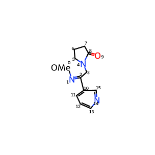 CON=C(CN1CCCC1=O)c1cccnc1